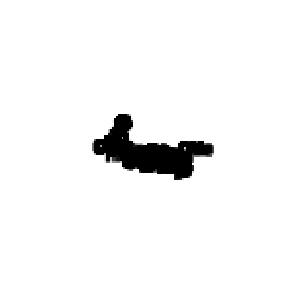 CCCCC1(CCCC)c2cc(NC(=O)[C@@H]3CC(=O)CN3C(=O)[CH]c3ccccc3)ccc2-c2ccc(N(C(=O)O)[C@H]3CCCN3C(=O)[C@H](NC(=O)OC)c3ccccc3)cc21